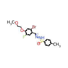 COCCOc1cc(Br)c(/C=N/N[S+]([O-])c2ccc(C)cc2)cc1F